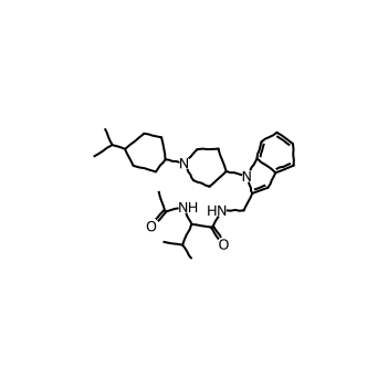 CC(=O)NC(C(=O)NCc1cc2ccccc2n1C1CCN(C2CCC(C(C)C)CC2)CC1)C(C)C